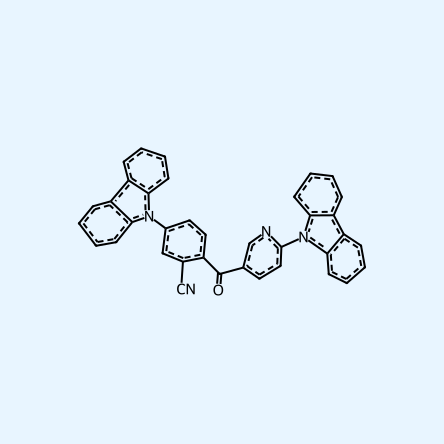 N#Cc1cc(-n2c3ccccc3c3ccccc32)ccc1C(=O)c1ccc(-n2c3ccccc3c3ccccc32)nc1